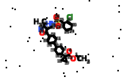 CCOC(=O)C1(c2ccc(-c3ccc(-c4onc(C)c4CNS(=O)(=O)Cc4ccccc4Cl)cc3)cc2)CC1